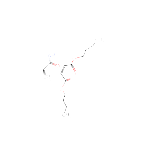 C=CC(N)=O.CCCCOC(=O)/C=C\C(=O)OCCCC